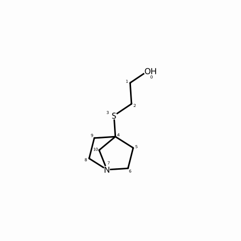 OCCSC12CCN(CC1)C2